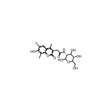 Cc1c(CC(=O)N[C@H]2C(O)OC(CO)[C@H](O)C2O)c(=O)oc2c(F)c(O)c(F)cc12